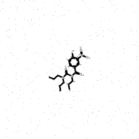 CCCN(CCC)C(=O)N(CCC)C(=O)c1ccc(I)c([N+](=O)[O-])c1